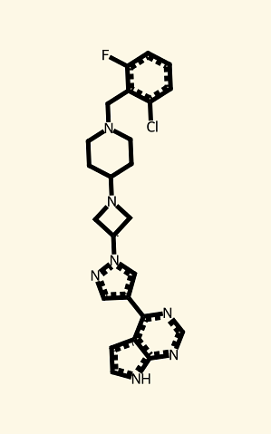 Fc1cccc(Cl)c1CN1CCC(N2C[C](n3cc(-c4ncnc5[nH]ccc45)cn3)C2)CC1